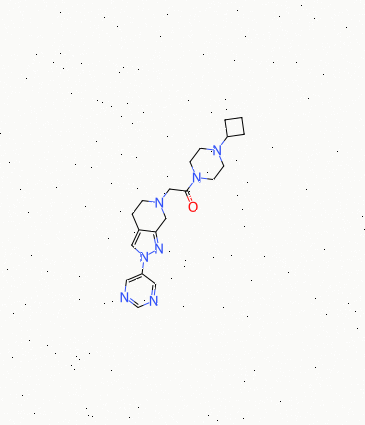 O=C(CN1CCc2cn(-c3cncnc3)nc2C1)N1CCN(C2CCC2)CC1